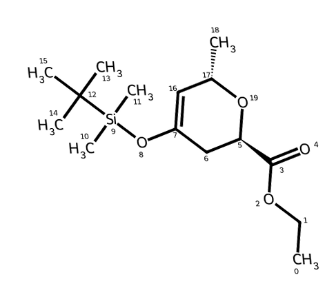 CCOC(=O)[C@H]1CC(O[Si](C)(C)C(C)(C)C)=C[C@H](C)O1